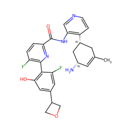 CC1=C[C@H](N)C[C@H](c2ccncc2NC(=O)c2ccc(F)c(-c3c(O)cc(C4COC4)cc3F)n2)C1